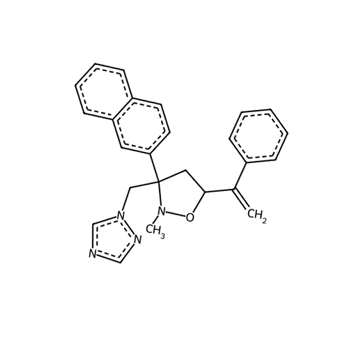 C=C(c1ccccc1)C1CC(Cn2cncn2)(c2ccc3ccccc3c2)N(C)O1